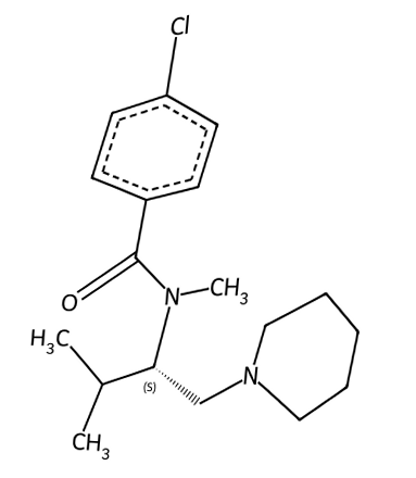 CC(C)[C@@H](CN1CCCCC1)N(C)C(=O)c1ccc(Cl)cc1